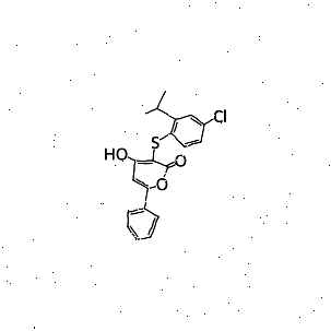 CC(C)c1cc(Cl)ccc1Sc1c(O)cc(-c2ccccc2)oc1=O